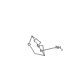 NN1CC2COCC1CO2